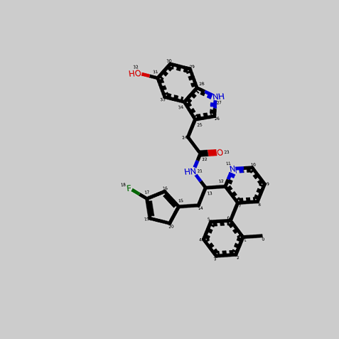 Cc1ccccc1-c1cccnc1C(CC1=CC(F)=CC1)NC(=O)Cc1c[nH]c2ccc(O)cc12